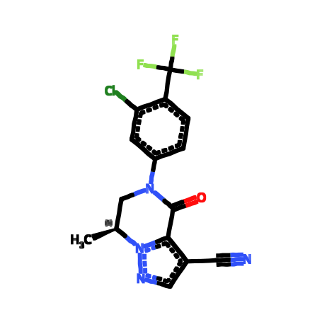 C[C@H]1CN(c2ccc(C(F)(F)F)c(Cl)c2)C(=O)c2c(C#N)cnn21